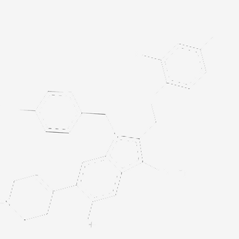 CCOC(=O)c1c(CSc2ccc(C)cc2C)n(Cc2ccc(C)cc2)c2cc(C3=CCNCC3)c(O)cc12